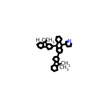 CC1(C)c2ccccc2-c2ccc(-c3ccc4c(-c5cccnc5)c5ccccc5c(-c5ccc6c(c5)C(C)(C)c5ccccc5-6)c4c3)cc21